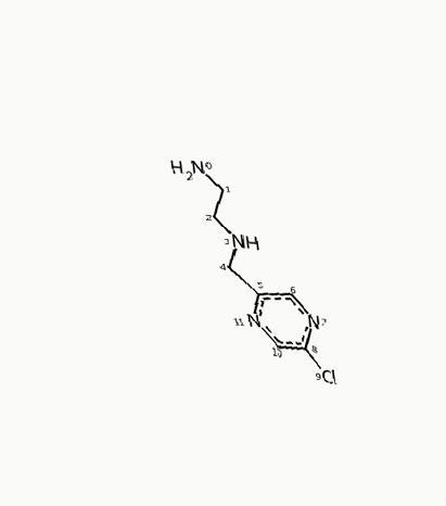 NCCNCc1cnc(Cl)cn1